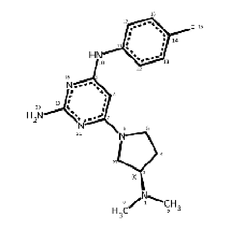 CN(C)[C@@H]1CCN(c2cc(Nc3ccc(F)cc3)nc(N)n2)C1